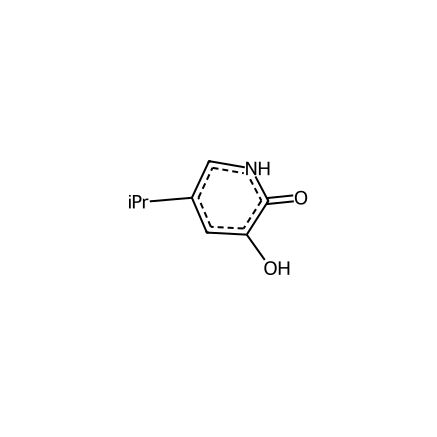 CC(C)c1c[nH]c(=O)c(O)c1